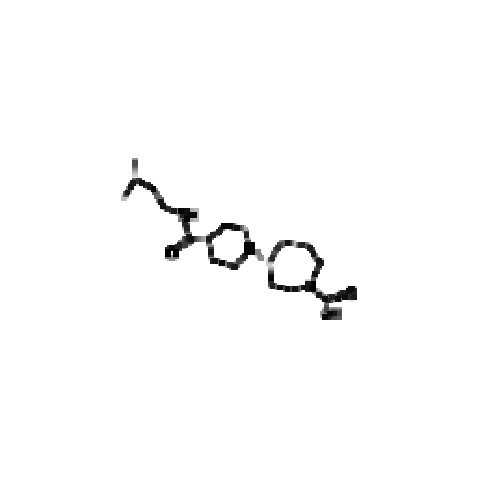 CC(C)CCNC(=O)C1CCN([C@@H]2CCCN(C(=O)O)CC2)CC1